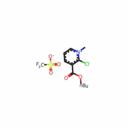 CCCCOC(=O)c1ccc[n+](C)c1Cl.O=S(=O)([O-])C(F)(F)F